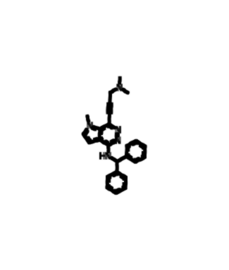 CN(C)CC#Cc1nnc(NC(c2ccccc2)c2ccccc2)c2ccn(C)c12